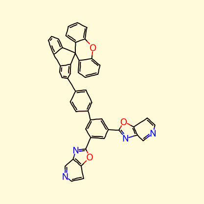 c1ccc2c(c1)Oc1ccccc1C21c2ccccc2-c2ccc(-c3ccc(-c4cc(-c5nc6cnccc6o5)cc(-c5nc6cnccc6o5)c4)cc3)cc21